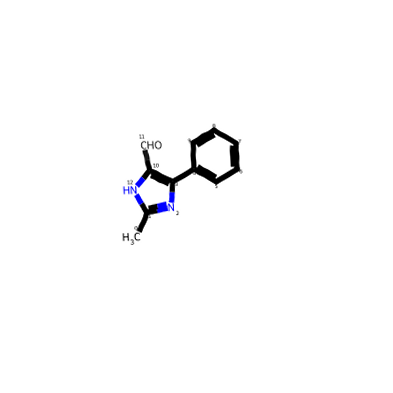 Cc1nc(-c2ccccc2)c(C=O)[nH]1